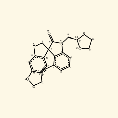 N#Cc1cccc2c1C1(COc3cc4c(cc31)CCO4)C(=O)N2C[C@H]1CCCO1